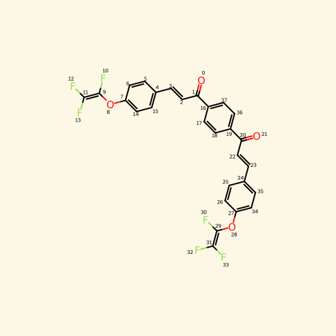 O=C(C=Cc1ccc(OC(F)=C(F)F)cc1)c1ccc(C(=O)C=Cc2ccc(OC(F)=C(F)F)cc2)cc1